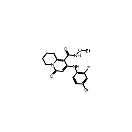 CCONC(=O)c1c(Nc2ccc(Br)cc2F)cc(=O)n2c1CCCC2